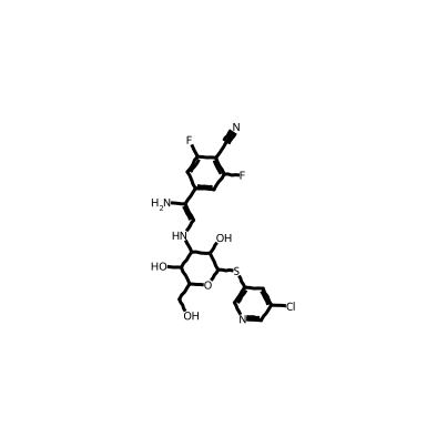 N#Cc1c(F)cc(/C(N)=C/NC2C(O)C(CO)OC(Sc3cncc(Cl)c3)C2O)cc1F